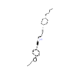 CCCC[C@H]1CC[C@H](C#C/C=C/C#Cc2ccc(OCCC)cc2)CC1